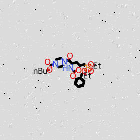 CCCCOC(=O)N1CCN(C(=O)C(CCCP(=O)(OCC)OCC)NC(=O)OCc2ccccc2)CC1